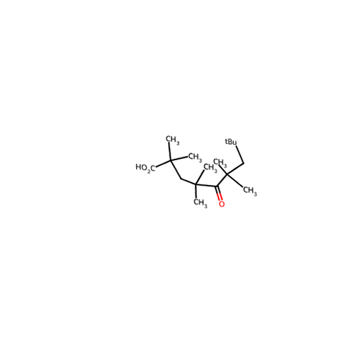 CC(C)(C)CC(C)(C)C(=O)C(C)(C)CC(C)(C)C(=O)O